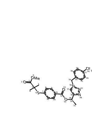 COC(=O)C(C)(C)Sc1ccc(C(=O)O[C@H](C)c2cn(Cc3ccc(C(F)(F)F)cc3)nn2)cc1